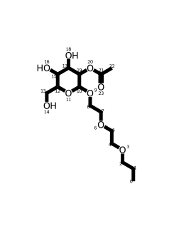 CCCOCCOCCOC1OC(CO)C(O)C(O)C1OC(C)=O